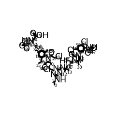 CCNc1nc(Cl)nc(NC(C)(C)C)n1.CCc1cccc(C)c1N(C(=O)CCl)C(C)COC.C[S+](C)C.Cc1nn(-c2cc(NS(C)(=O)=O)c(Cl)cc2Cl)c(=O)n1C(F)F.O=C(O)CNCP(=O)([O-])O